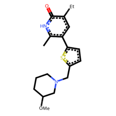 CCc1cc(-c2ccc(CN3CCCC(OC)C3)s2)c(C)[nH]c1=O